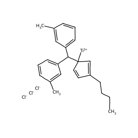 CCCCC1=C[C]([Ti+3])(C(c2cccc(C)c2)c2cccc(C)c2)C=C1.[Cl-].[Cl-].[Cl-]